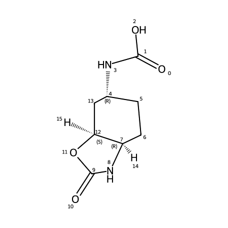 O=C(O)N[C@@H]1CC[C@H]2NC(=O)O[C@H]2C1